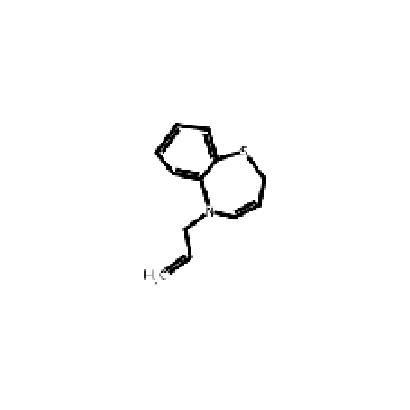 C=CCN1C=CCSc2ccccc21